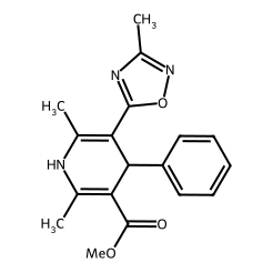 COC(=O)C1=C(C)NC(C)=C(c2nc(C)no2)C1c1ccccc1